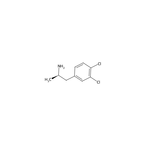 C[C@@H](N)Cc1ccc(Cl)c(Cl)c1